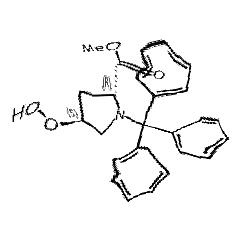 COC(=O)[C@H]1C[C@H](OO)CN1C(c1ccccc1)(c1ccccc1)c1ccccc1